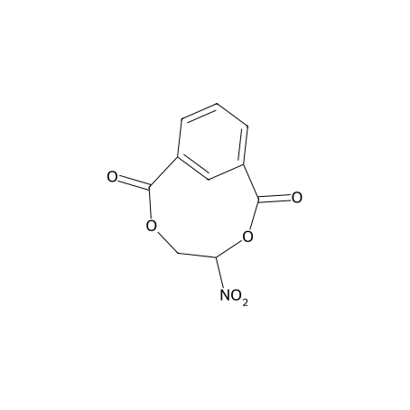 O=C1OCC([N+](=O)[O-])OC(=O)c2cccc1c2